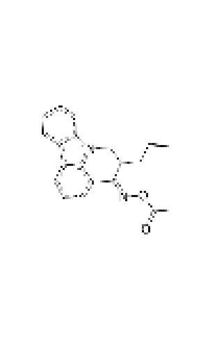 C=CCC1Cn2c3ccccc3c3cccc(c32)/C1=N/OC(C)=O